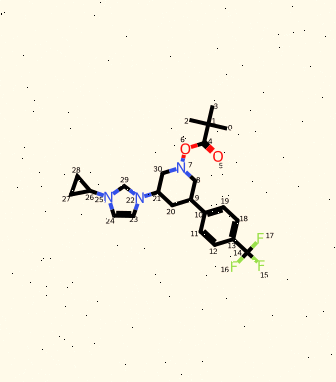 CC(C)(C)C(=O)ON1CC(c2ccc(C(F)(F)F)cc2)CC(N2C=CN(C3CC3)C2)C1